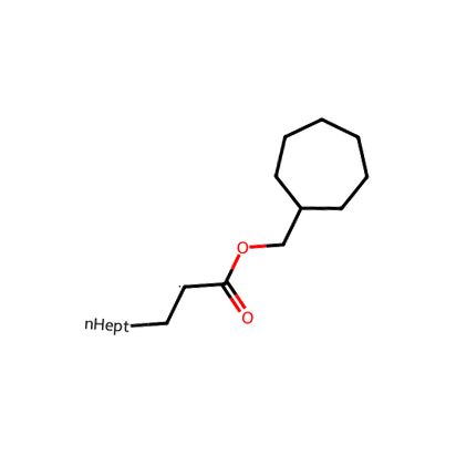 CCCCCCCC[CH]C(=O)OCC1CCCCCC1